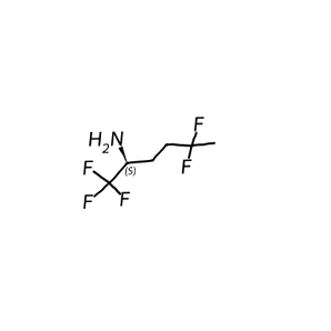 CC(F)(F)CC[C@H](N)C(F)(F)F